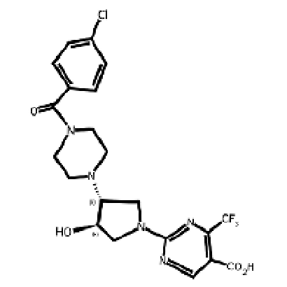 O=C(O)c1cnc(N2C[C@@H](O)[C@H](N3CCN(C(=O)c4ccc(Cl)cc4)CC3)C2)nc1C(F)(F)F